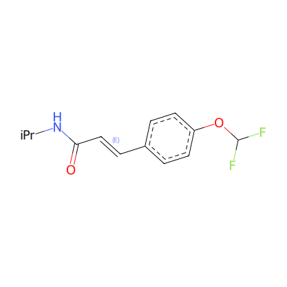 CC(C)NC(=O)/C=C/c1ccc(OC(F)F)cc1